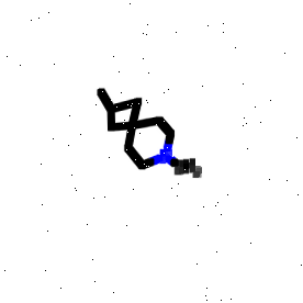 BN1CCC2(CC1)CC(C)C2